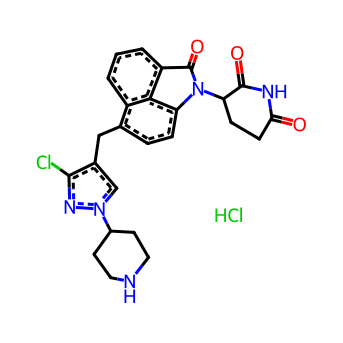 Cl.O=C1CCC(N2C(=O)c3cccc4c(Cc5cn(C6CCNCC6)nc5Cl)ccc2c34)C(=O)N1